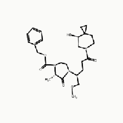 COC[C@H](CCC(=O)N1CCC2(CC2)[C@H](O)C1)N1CCN(C(=O)OCc2ccccc2)[C@@H](C)C1=O